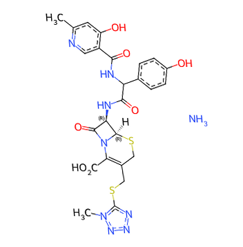 Cc1cc(O)c(C(=O)NC(C(=O)N[C@@H]2C(=O)N3C(C(=O)O)=C(CSc4nnnn4C)CS[C@H]23)c2ccc(O)cc2)cn1.N